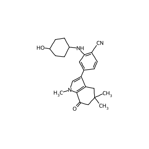 Cn1cc(-c2ccc(C#N)c(NC3CCC(O)CC3)c2)c2c1C(=O)CC(C)(C)C2